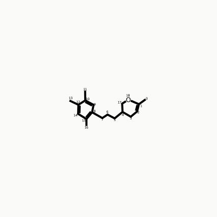 CC1=CCC(CCCc2cc(C)c(C)cc2C)CO1